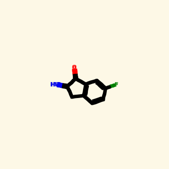 N=C1Cc2ccc(F)cc2C1=O